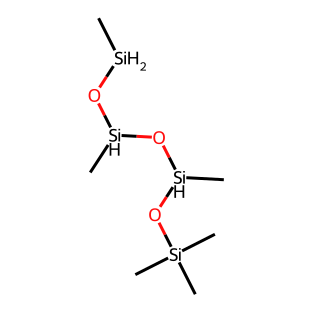 C[SiH2]O[SiH](C)O[SiH](C)O[Si](C)(C)C